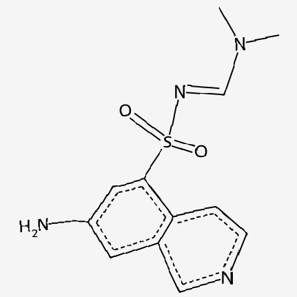 CN(C)/C=N/S(=O)(=O)c1cc(N)cc2cnccc12